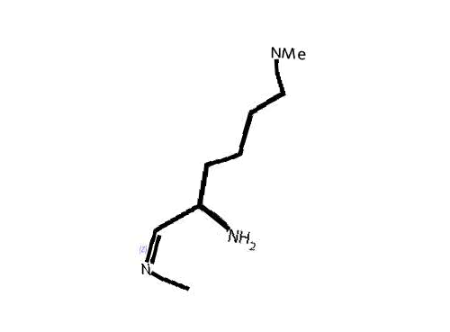 C/N=C\C(N)CCCCNC